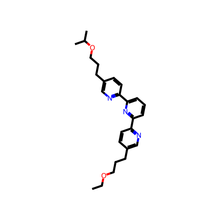 CCOCCCc1ccc(-c2cccc(-c3ccc(CCCOC(C)C)cn3)n2)nc1